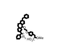 COC(Cc1ccc(OCCOC2c3ccc(Cc4ccccc4)cc3C=Cc3ccc(C(C)c4ccccc4)cc32)cc1)C(=O)O